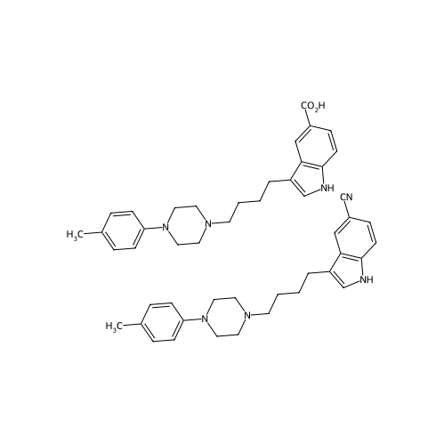 Cc1ccc(N2CCN(CCCCc3c[nH]c4ccc(C#N)cc34)CC2)cc1.Cc1ccc(N2CCN(CCCCc3c[nH]c4ccc(C(=O)O)cc34)CC2)cc1